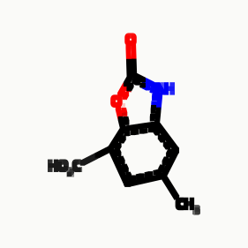 Cc1cc(C(=O)O)c2oc(=O)[nH]c2c1